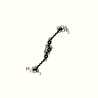 C=C(C)C(=O)OCCCCCCCCOc1ccc(C(=O)Oc2cc(F)c(OC(=O)c3ccc(OCCCCCCCCOC(=O)C(=C)C)cc3)c(F)c2F)cc1